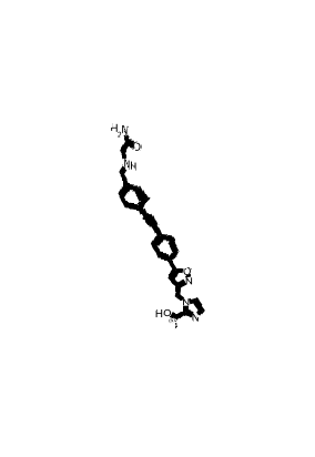 C[C@H](O)c1nccn1Cc1cc(-c2ccc(C#Cc3ccc(CNCC(N)=O)cc3)cc2)on1